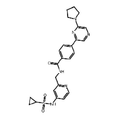 O=C(NCc1cc(NS(=O)(=O)C2CC2)ccn1)c1ccc(-c2cncc(N3CCCC3)n2)cc1